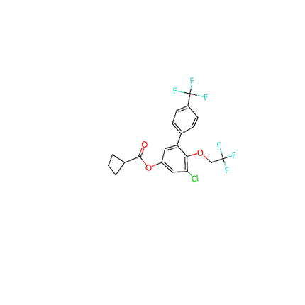 O=C(Oc1cc(Cl)c(OCC(F)(F)F)c(-c2ccc(C(F)(F)F)cc2)c1)C1CCC1